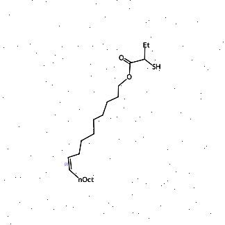 CCCCCCCC/C=C\CCCCCCCCOC(=O)C(S)CC